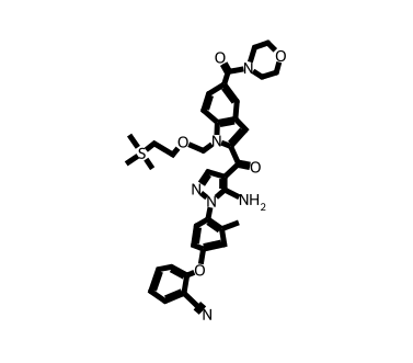 Cc1cc(Oc2ccccc2C#N)ccc1-n1ncc(C(=O)c2cc3cc(C(=O)N4CCOCC4)ccc3n2COCCS(C)(C)C)c1N